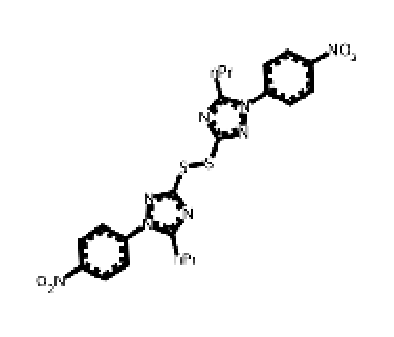 CCCc1nc(SSc2nc(CCC)n(-c3ccc([N+](=O)[O-])cc3)n2)nn1-c1ccc([N+](=O)[O-])cc1